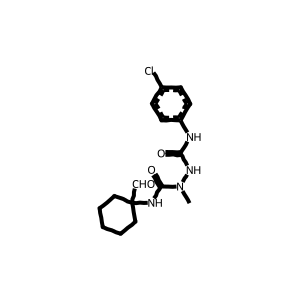 CN(NC(=O)Nc1ccc(Cl)cc1)C(=O)NC1(C=O)CCCCC1